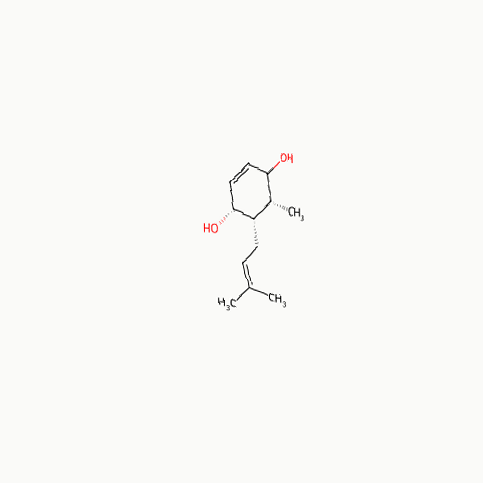 CC(C)=CC[C@@H]1[C@H](O)C=CC(O)[C@@H]1C